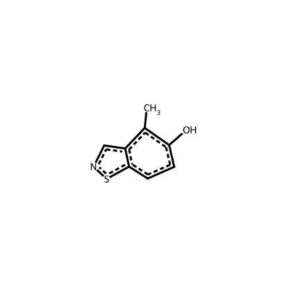 Cc1c(O)ccc2sncc12